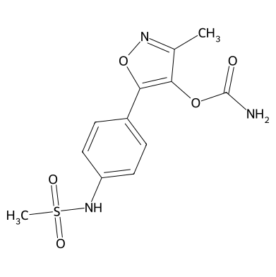 Cc1noc(-c2ccc(NS(C)(=O)=O)cc2)c1OC(N)=O